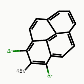 CCCCc1c(Br)c2ccc3cccc4ccc(c1Br)c2c34